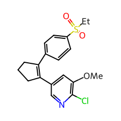 CCS(=O)(=O)c1ccc(C2=C(c3cnc(Cl)c(OC)c3)CCC2)cc1